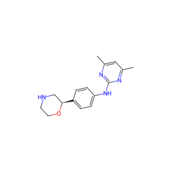 Cc1cc(C)nc(Nc2ccc([C@@H]3CNCCO3)cc2)n1